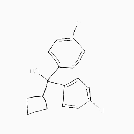 OC(c1ccc(Cl)cc1)(c1ccc(Cl)cc1)C1CCC1